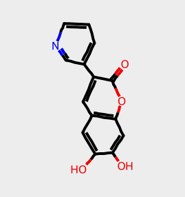 O=c1oc2cc(O)c(O)cc2cc1-c1cccnc1